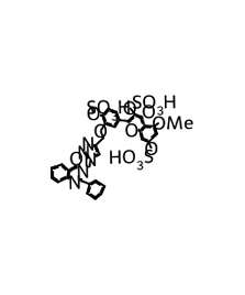 COc1cc(OS(=O)(=O)O)cc2oc(-c3ccc(OS(=O)(=O)O)c(OCc4cn(Cn5c(-c6ccccc6)nc6ccccc6c5=O)nn4)c3)c(OS(=O)(=O)O)c(=O)c12